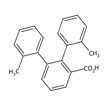 Cc1ccccc1-c1cccc(C(=O)O)c1-c1ccccc1C